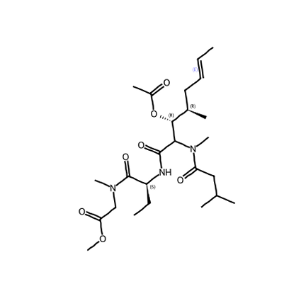 C/C=C/C[C@@H](C)[C@@H](OC(C)=O)C(C(=O)N[C@@H](CC)C(=O)N(C)CC(=O)OC)N(C)C(=O)CC(C)C